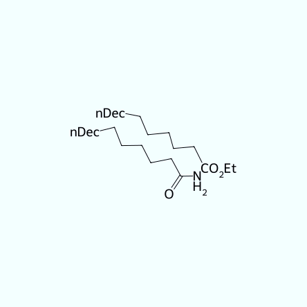 CCCCCCCCCCCCCCCC(=O)OCC.CCCCCCCCCCCCCCCC(N)=O